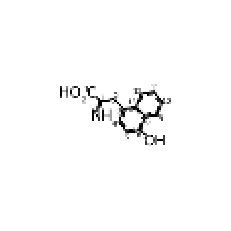 N=C([CH]c1ccc(O)c2ccccc12)C(=O)O